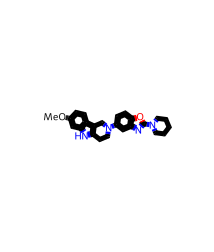 COc1ccc2c3c([nH]c2c1)CCN(c1ccc2oc(N4CCCCC4)nc2c1)C3